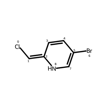 ClC=C1C=CC(Br)=CN1